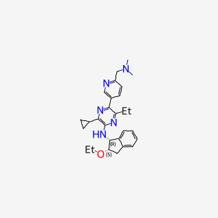 CCO[C@H]1Cc2ccccc2[C@H]1Nc1nc(CC)c(-c2ccc(CN(C)C)nc2)nc1C1CC1